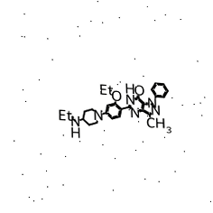 CCNC1CCN(c2ccc(-c3nc4c(C)nn(-c5ccccc5)c4c(=O)[nH]3)c(OCC)c2)CC1